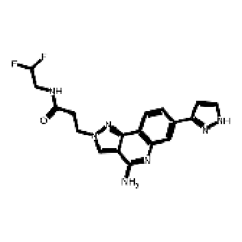 Nc1nc2cc(-c3cc[nH]n3)ccc2c2nn(CCC(=O)NCC(F)F)cc12